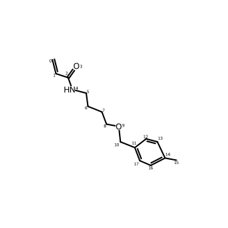 C=CC(=O)NCCCCOCc1ccc(C)cc1